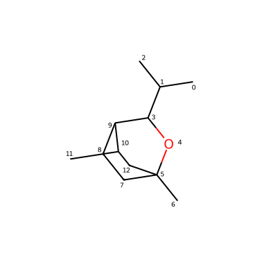 CC(C)C1OC2(C)CCC1C(C)C2